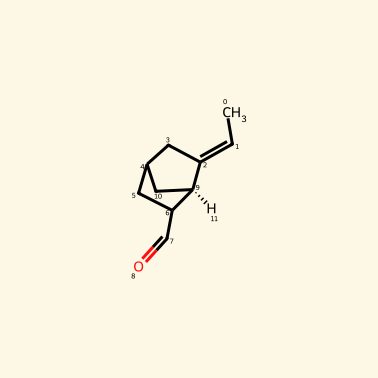 CC=C1CC2CC(C=O)[C@H]1C2